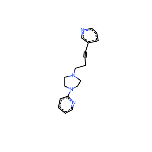 C(#Cc1cccnc1)CCN1CCN(c2ccccn2)CC1